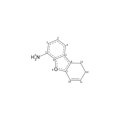 Nc1cccc2c3c(oc12)C=CCC3